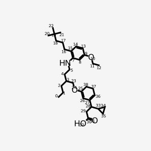 CCCC(CCNc1cc(OCC)ccc1CCCC(C)(C)C)COC1=CC(C(CC(=O)O)C2CC2)=CCC1